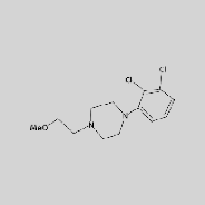 COCCN1CCN(c2cccc(Cl)c2Cl)CC1